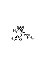 COC(=O)c1cccc(NN)c1.CS(=O)(=O)O